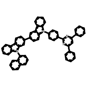 c1ccc(-c2cc(-c3ccccc3)nc(-c3ccc(-n4c5ccccc5c5cc(-c6ccc7c8ccccc8n(-c8cccc9ccccc89)c7c6)ccc54)cc3)n2)cc1